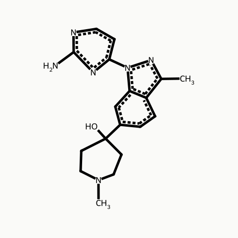 Cc1nn(-c2ccnc(N)n2)c2cc(C3(O)CCN(C)CC3)ccc12